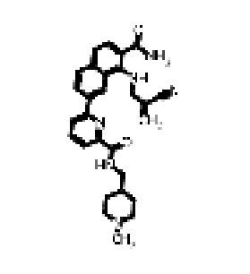 C=C(C#N)CNc1c(C(N)=O)ccc2ccc(-c3cccc(C(=O)NCC4CCN(C)CC4)n3)cc12